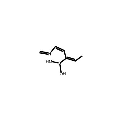 C=N/C=C\C(=C/C)B(O)O